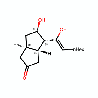 CCCCCCC=C(O)[C@@H]1[C@@H]2CC(=O)C[C@H]2C[C@H]1O